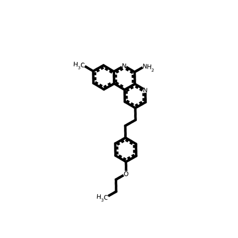 CCCOc1ccc(CCc2cnc3c(N)nc4cc(C)ccc4c3c2)cc1